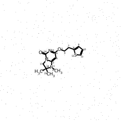 CN1c2cc(OCCc3cccs3)nc(=O)n2CC1(C)C